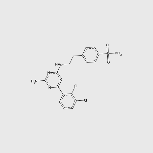 Nc1nc([AsH]CCc2ccc(S(N)(=O)=O)cc2)cc(-c2cccc(Cl)c2Cl)n1